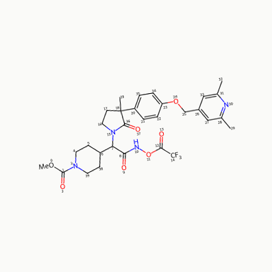 COC(=O)N1CCC(C(C(=O)NOC(=O)C(F)(F)F)N2CCC(C)(c3ccc(OCc4cc(C)nc(C)c4)cc3)C2=O)CC1